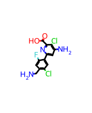 NCc1cc(F)c(-c2cc(N)c(Cl)c(C(=O)O)n2)cc1Cl